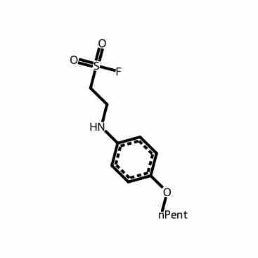 CCCCCOc1ccc(NCCS(=O)(=O)F)cc1